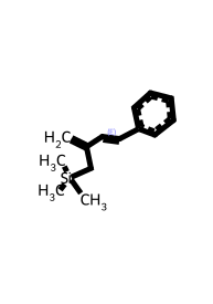 C=C(/C=C/c1ccccc1)C[Si](C)(C)C